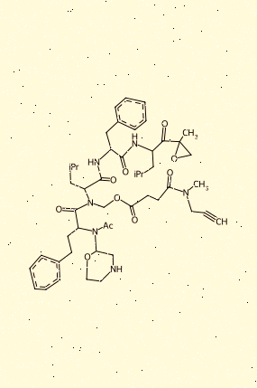 C#CCN(C)C(=O)CCC(=O)OCN(C(=O)C(CCc1ccccc1)N(C(C)=O)C1CNCCO1)C(CC(C)C)C(=O)NC(Cc1ccccc1)C(=O)NC(CC(C)C)C(=O)C1(C)CO1